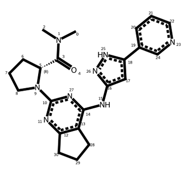 CN(C)C(=O)[C@H]1CCCN1c1nc2c(c(Nc3cc(-c4cccnc4)[nH]n3)n1)CCC2